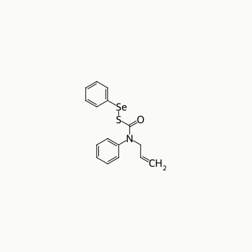 C=CCN(C(=O)S[Se]c1ccccc1)c1ccccc1